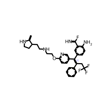 C=C1NCCC1CCNCCOc1ccc(/C(=C(/CC(F)(F)F)c2ccccc2)c2ccc(N)c(C(=N)F)c2)cn1